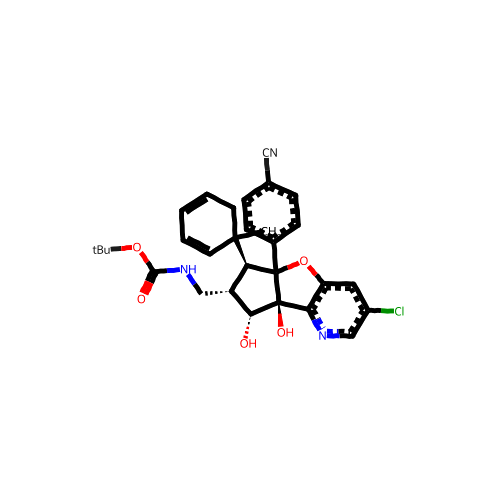 CC(C)(C)OC(=O)NC[C@H]1[C@@H](O)[C@@]2(O)c3ncc(Cl)cc3OC2(c2ccc(C#N)cc2)[C@@H]1C1(C)C=CC=CC1